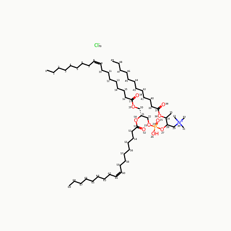 CCCCCCCC/C=C\CCCCCCCC(=O)OC[C@H](COP(=O)(O)OC(C[N+](C)(C)C)C(C)OC(=O)CCCCCCCCCCC)OC(=O)CCCCCCC/C=C\CCCCCCCC.[Cl-]